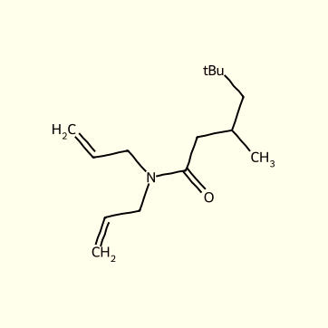 C=CCN(CC=C)C(=O)CC(C)CC(C)(C)C